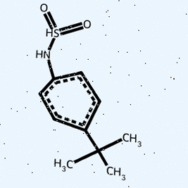 CC(C)(C)c1ccc(N[SH](=O)=O)cc1